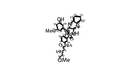 COCCNCC(=O)Nc1cccc(S(=O)(=O)Nc2nc3ccccc3nc2Nc2cc(O)cc(OC)c2)c1